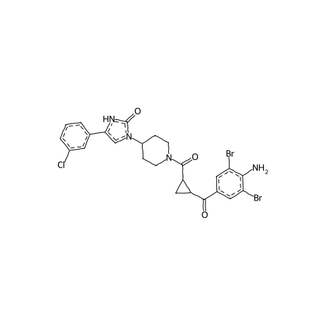 Nc1c(Br)cc(C(=O)C2CC2C(=O)N2CCC(n3cc(-c4cccc(Cl)c4)[nH]c3=O)CC2)cc1Br